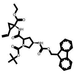 C=CC1C[C@]1(NC(=O)C1C[C@@H](NC(=O)OCC2c3ccccc3-c3ccccc32)CN1C(=O)OC(C)(C)C)C(=O)OCC